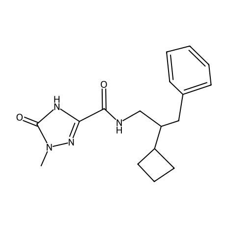 Cn1nc(C(=O)NCC(Cc2ccccc2)C2CCC2)[nH]c1=O